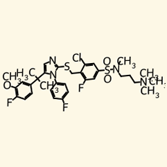 COc1cc(C(C)(C)c2cnc(SCc3c(F)cc(S(=O)(=O)N(C)CCC[N+](C)(C)C)cc3Cl)n2-c2ccc(F)cc2)ccc1F